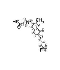 CC1Cc2c(ccc(OCCCC(F)(F)F)c2F)C=C1CN1CC(C(=O)O)C1